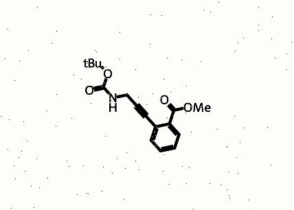 COC(=O)c1ccccc1C#CCNC(=O)OC(C)(C)C